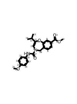 COC(=O)c1ccc2c(c1)OC(C(C)C)=CN(C(=O)Nc1ccc(OC)cc1)C2